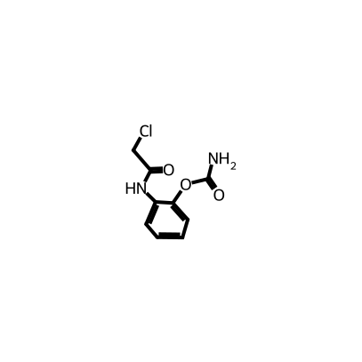 NC(=O)Oc1ccccc1NC(=O)CCl